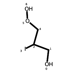 OCC(I)COO